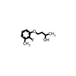 Cc1[c]ccc(OCCC(C)O)c1F